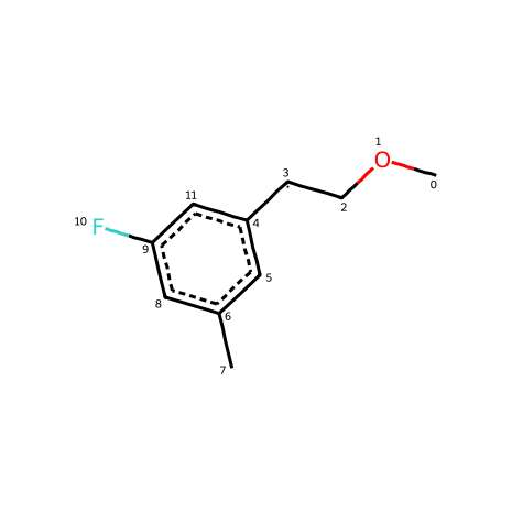 COC[CH]c1cc(C)cc(F)c1